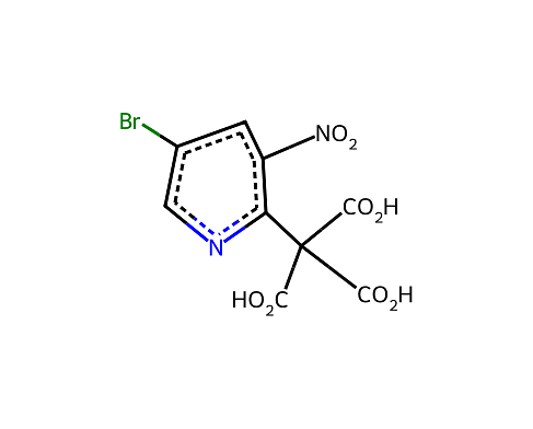 O=C(O)C(C(=O)O)(C(=O)O)c1ncc(Br)cc1[N+](=O)[O-]